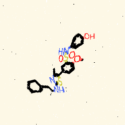 COc1ccc(-c2sc(N[C@H](C)CC3CCCCC3)nc2C)cc1S(=O)(=O)Nc1ccc(O)cc1